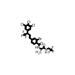 C[C@H](NC(=O)c1ccc(C=CC(c2cc(Cl)c(Cl)c(Cl)c2)C(F)(F)F)cc1Br)C(=O)NCC(F)(F)F